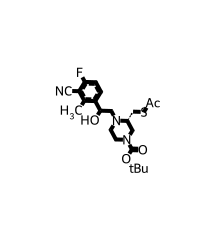 CC(=O)SC[C@@H]1CN(C(=O)OC(C)(C)C)CCN1CC(O)c1ccc(F)c(C#N)c1C